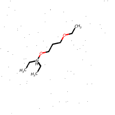 CCOCCCO[SiH](CC)CC